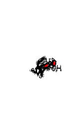 COCc1cc(COC)c(OS(=O)(=O)C(F)(F)C(F)(F)C(F)(F)S(=O)(=O)O)c(COC)c1